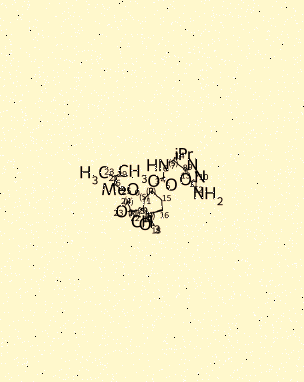 CO[C@@H]1[C@H](OC(=O)N[C@H](c2nnc(N)o2)C(C)C)CC[C@]2(CO2)[C@H]1[C@@]1(C)O[C@@H]1CC=C(C)C